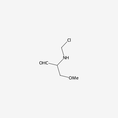 COCC(C=O)NCCl